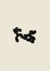 c1ccc2cc3c(cc2c1)c1ccccc1n3-c1cc(-c2nc(-c3ccc4sc5ccccc5c4c3)nc(-c3ccc4sc5cc(-c6cccc7oc8c(-c9nc(-c%10cc(-n%11c%12ccccc%12c%12cc%13ccccc%13cc%12%11)c%11c(c%10)oc%10ccccc%10%11)nc(-c%10cccc%11c%10oc%10ccccc%10%11)n9)cccc8c67)ccc5c4c3)n2)cc2oc3ccccc3c12